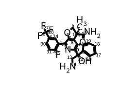 C[C@]1(C(N)=O)COc2c1cc([C@@](O)(CN)c1ccccc1)nc2-c1cc(C(F)(F)F)ccc1F